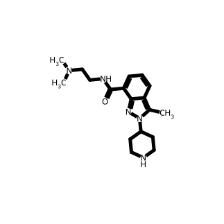 Cc1c2cccc(C(=O)NCCN(C)C)c2nn1C1CCNCC1